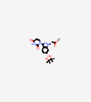 CC(=O)[O-].Cn1nc(N2CCC(=O)NC2=O)c2ccc(B3OC(C)(C)C(C)(C)O3)cc21.[K+]